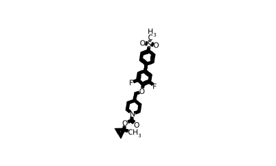 CC1(OC(=O)N2CCC(COc3c(F)cc(-c4ccc(S(C)(=O)=O)cc4)cc3F)CC2)CC1